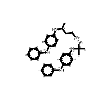 CC(C)CCC(C)Nc1ccc(Nc2ccccc2)cc1.CCCC(C)(C)Nc1ccc(Nc2ccccc2)cc1